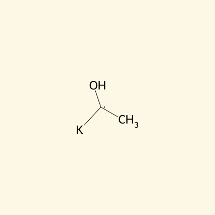 C[C](O)[K]